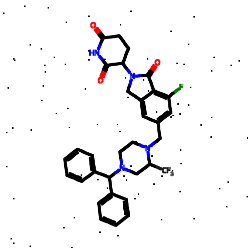 O=C1CCC(N2Cc3cc(CN4CCN(C(c5ccccc5)c5ccccc5)CC4C(F)(F)F)cc(F)c3C2=O)C(=O)N1